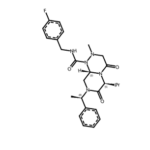 CC(C)[C@H]1C(=O)N([C@H](C)c2ccccc2)C[C@H]2N1C(=O)CN(C)N2C(=O)NCc1ccc(F)cc1